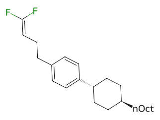 CCCCCCCC[C@H]1CC[C@H](c2ccc(CCC=C(F)F)cc2)CC1